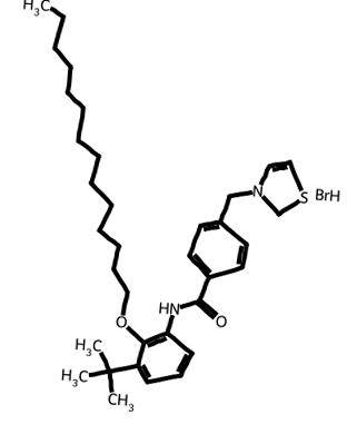 Br.CCCCCCCCCCCCCCOc1c(NC(=O)c2ccc(CN3C=CSC3)cc2)cccc1C(C)(C)C